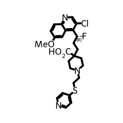 COc1ccc2ncc(Cl)c([C@H](F)CCC3(C(=O)O)CCN(CCSc4ccncc4)CC3)c2c1